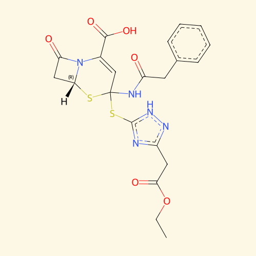 CCOC(=O)Cc1n[nH]c(SC2(NC(=O)Cc3ccccc3)C=C(C(=O)O)N3C(=O)C[C@H]3S2)n1